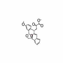 COC(=O)C(=O)C[C@@H](c1ccc2ccccc2c1)c1ccc(OC)cc1C1OCCO1